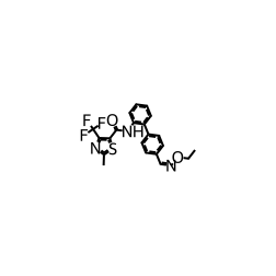 CCO/N=C\c1ccc(-c2ccccc2NC(=O)c2sc(C)nc2C(F)(F)F)cc1